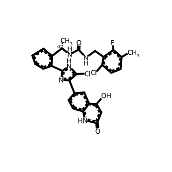 Cc1ccc(Cl)c(CNC(=O)N[C@@H](C)c2ccccc2-c2nc(-c3ccc4[nH]c(=O)cc(O)c4c3)c(Cl)[nH]2)c1F